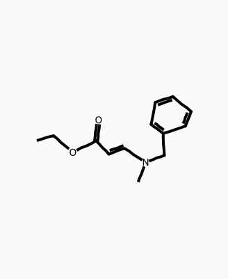 CCOC(=O)C=CN(C)Cc1ccccc1